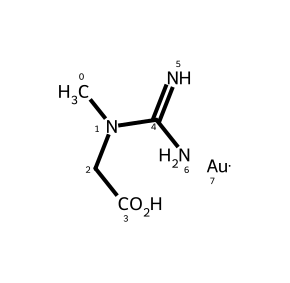 CN(CC(=O)O)C(=N)N.[Au]